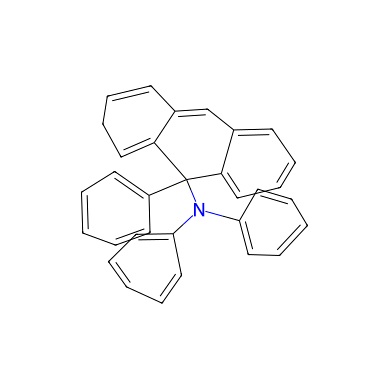 C1=CC2=Cc3ccccc3C(c3ccccc3)(N(c3ccccc3)c3ccccc3)C2=CC1